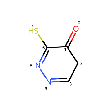 O=C1CC=NN=C1S